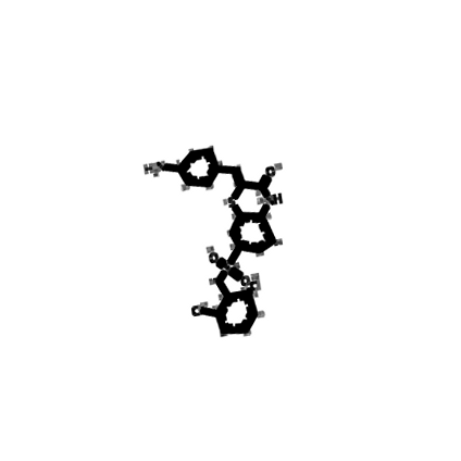 Nc1ccc(C=C2Sc3cc(S(=O)(=O)Cc4c(Cl)cccc4Cl)ccc3NC2=O)cc1